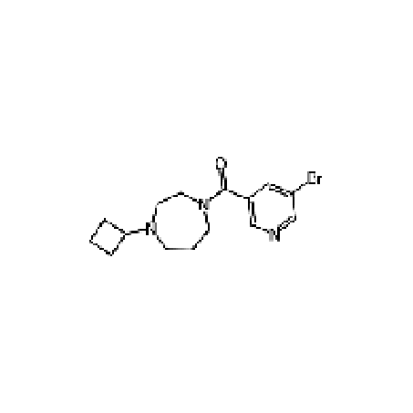 O=C(c1cncc(Br)c1)N1CCCN(C2CCC2)CC1